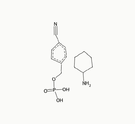 N#Cc1ccc(COP(=O)(O)O)cc1.NC1CCCCC1